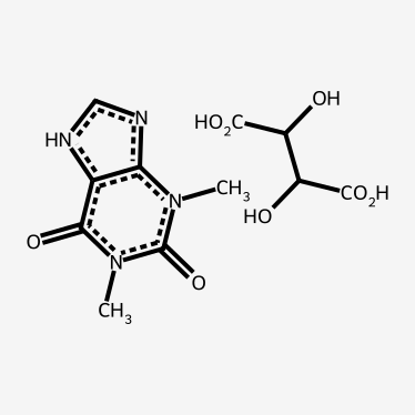 Cn1c(=O)c2[nH]cnc2n(C)c1=O.O=C(O)C(O)C(O)C(=O)O